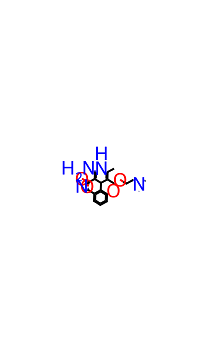 COC(=O)C1=C(N)NC(C)=C(C(=O)OCCN(C)C)C1c1ccccc1C#N